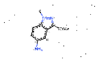 COc1nn(C)c2ccc(N)cc12